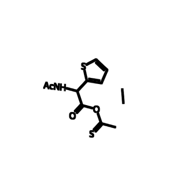 CC.CC(=O)NC(C(=O)OC(C)=S)c1cccs1